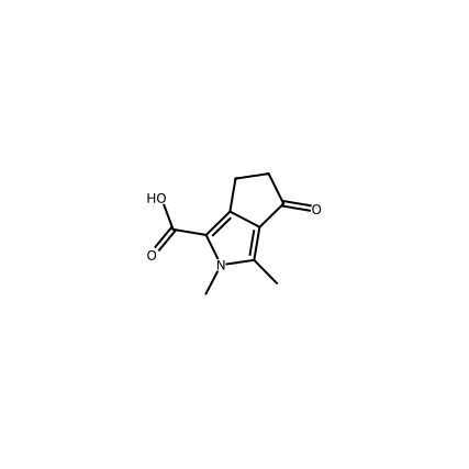 Cc1c2c(c(C(=O)O)n1C)CCC2=O